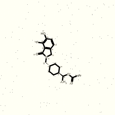 CCCC(=O)OC(C)[C@H]1CC[C@H](CN2Cc3ccc(O)c(F)c3C2=O)CC1